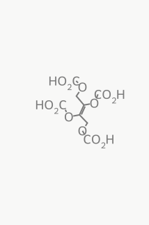 O=C(O)OCC(OC(=O)O)=C(COC(=O)O)OC(=O)O